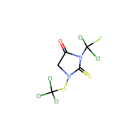 O=C1CN(SC(Cl)(Cl)Cl)C(=S)N1C(F)(Cl)Cl